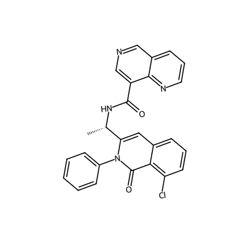 C[C@H](NC(=O)c1cncc2cccnc12)c1cc2cccc(Cl)c2c(=O)n1-c1ccccc1